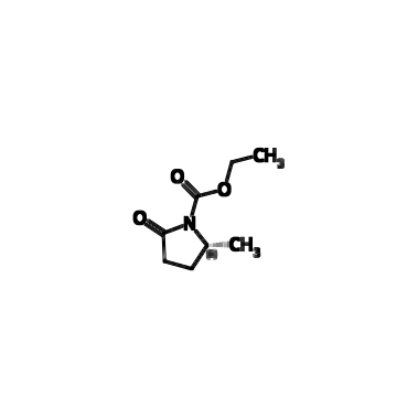 CCOC(=O)N1C(=O)CC[C@H]1C